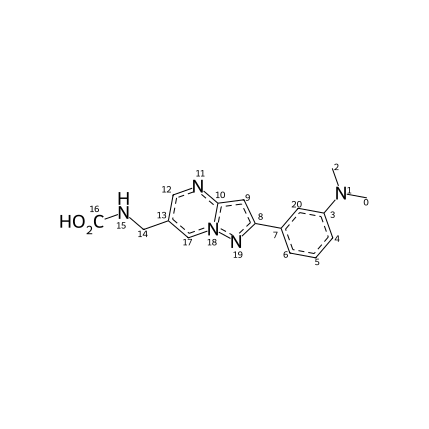 CN(C)c1cccc(-c2cc3ncc(CNC(=O)O)cn3n2)c1